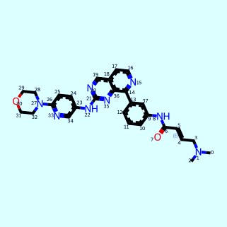 CN(C)C/C=C/C(=O)Nc1cccc(-c2nccc3cnc(Nc4ccc(N5CCOCC5)nc4)nc23)c1